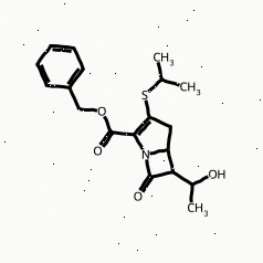 CC(C)SC1=C(C(=O)OCc2ccccc2)N2C(=O)C(C(C)O)C2C1